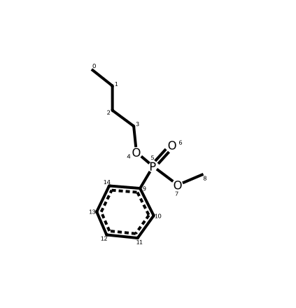 CCCCOP(=O)(OC)c1ccccc1